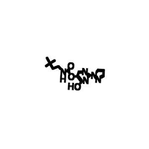 CC(C)(C)CCNC(=O)Oc1cnc(-n2cccn2)nc1O